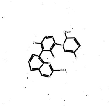 COC1C=CC(Cl)=CN1c1ccc(F)c(-c2cccc3cnc(N)nc23)c1F